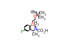 C[C@H](c1cc(F)ccc1OCCO[Si](C)(C)C(C)(C)C)N(C)C(=O)O